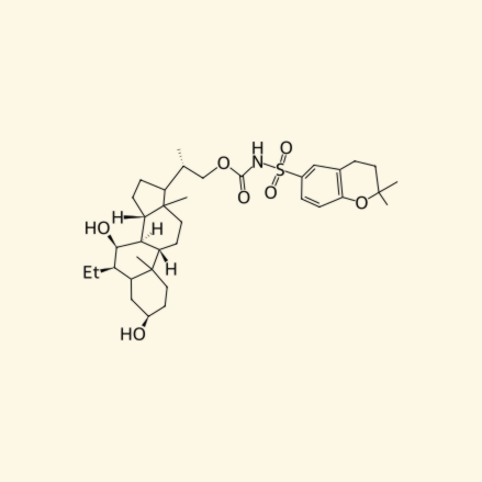 CC[C@@H]1C2C[C@H](O)CCC2(C)[C@H]2CCC3(C)C([C@H](C)COC(=O)NS(=O)(=O)c4ccc5c(c4)CCC(C)(C)O5)CC[C@H]3[C@@H]2[C@@H]1O